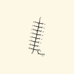 OC[SiH2]C(F)(F)C(F)(F)C(F)(F)C(F)(F)C(F)(F)C(F)(F)C(F)(F)C(F)(F)F